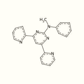 CN(c1ccccc1)c1nc(-c2ccccn2)cc(-c2ccccn2)n1